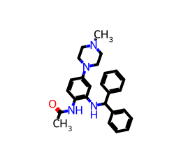 CC(=O)Nc1ccc(N2CCN(C)CC2)cc1NC(c1ccccc1)c1ccccc1